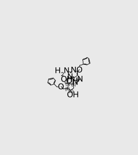 Nc1nc(OCc2ccccc2)c2ncn([C@H]3C[C@H](O)[C@@H](COCc4ccccc4)[C@@]3(O)CO)c2n1